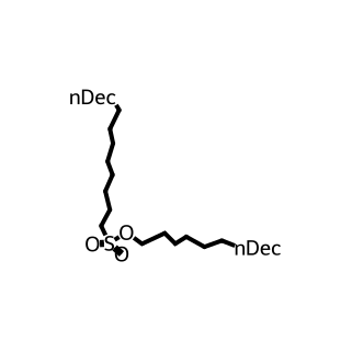 CCCCCCCCCCCCCCCCCCS(=O)(=O)OCCCCCCCCCCCCCCCC